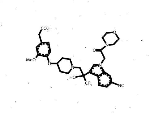 [C-]#[N+]c1ccc2c(C(O)(CN3CCC(Oc4ccc(CC(=O)O)cc4OC)CC3)C(F)(F)F)cn(CC(=O)N3CCOCC3)c2c1